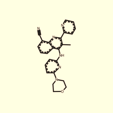 Cc1c(-c2ccccn2)nc2c(C#N)cccc2c1Nc1cccc(N2CCOCC2)n1